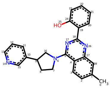 Cc1ccc2c(N3CCC(c4cccnc4)C3)nc(-c3ccccc3O)nc2c1